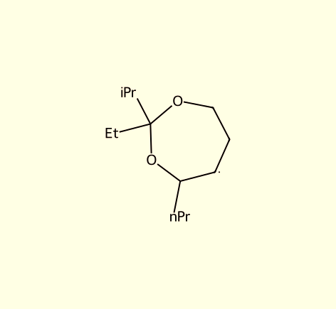 CCCC1[CH]CCOC(CC)(C(C)C)O1